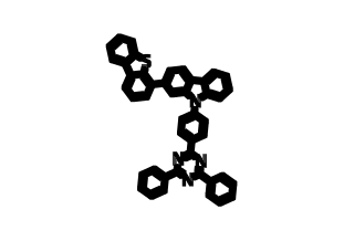 c1ccc(-c2nc(-c3ccccc3)nc(-c3ccc(-n4c5ccccc5c5ccc(-c6cccc7c6sc6ccccc67)cc54)cc3)n2)cc1